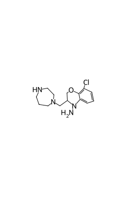 NN1c2cccc(Cl)c2OCC1CN1CCCNCC1